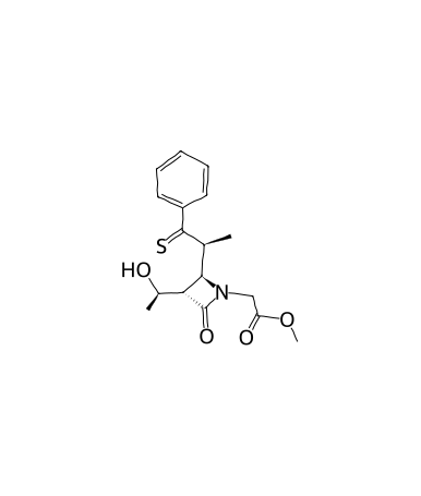 COC(=O)CN1C(=O)[C@H]([C@@H](C)O)[C@H]1[C@H](C)C(=S)c1ccccc1